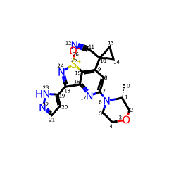 C[C@@H]1COCCN1c1cc(C2(C#N)CC2)c2c(n1)c(-c1ccn[nH]1)n[s+]2[O-]